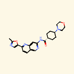 Cc1ncc(-c2ccc3cnc(NC(=O)[C@H]4CC[C@H](N5CCOCC5)CC4)cc3n2)o1